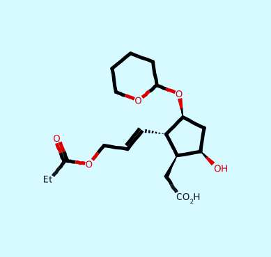 CCC(=O)OCC=C[C@H]1[C@H](CC(=O)O)[C@H](O)C[C@@H]1OC1CCCCO1